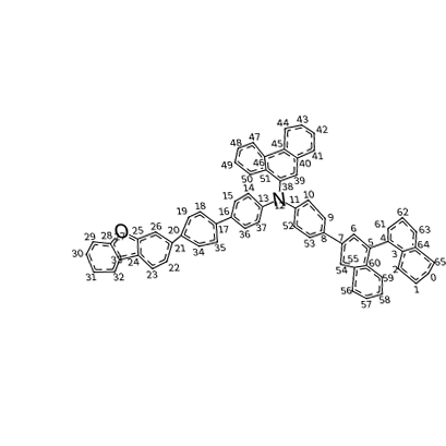 c1ccc2c(-c3cc(-c4ccc(N(c5ccc(-c6ccc(-c7ccc8c(c7)oc7ccccc78)cc6)cc5)c5cc6ccccc6c6ccccc56)cc4)cc4ccccc34)cccc2c1